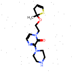 CC1(OCCn2ccnc(N3CCNCC3)c2=O)CC=CS1